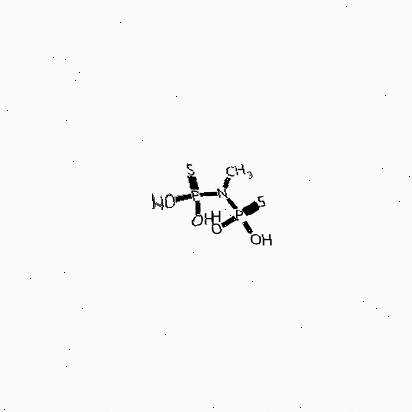 CN(P(O)(O)=S)P(O)(O)=S